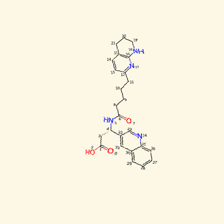 O=C(O)C[C@H](NC(=O)CCCCc1ccc2c(n1)NCCC2)c1cnc2ccccc2c1